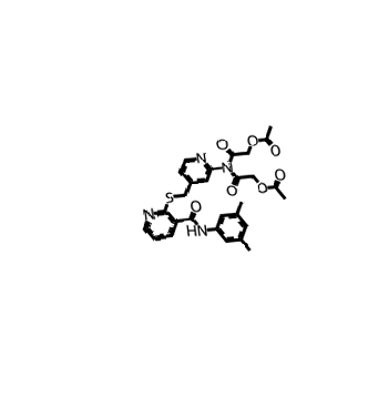 CC(=O)OCC(=O)N(C(=O)COC(C)=O)c1cc(CSc2ncccc2C(=O)Nc2cc(C)cc(C)c2)ccn1